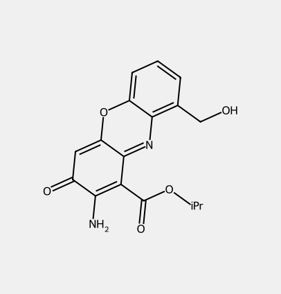 CC(C)OC(=O)c1c2nc3c(CO)cccc3oc-2cc(=O)c1N